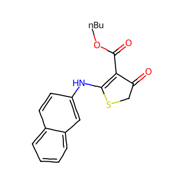 CCCCOC(=O)C1=C(Nc2ccc3ccccc3c2)SCC1=O